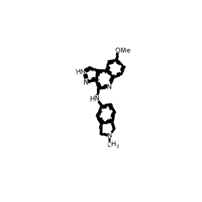 COc1ccc2nc(Nc3ccc4c(c3)CN(C)C4)c3n[nH]cc3c2c1